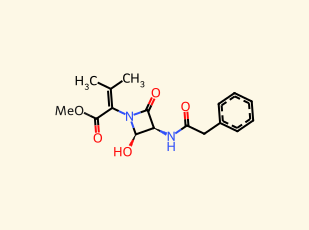 COC(=O)C(=C(C)C)N1C(=O)[C@@H](NC(=O)Cc2ccccc2)[C@H]1O